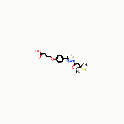 C/C(=N\NC(=O)CC(C)(C)S)c1ccc(OCCCC(=O)O)cc1